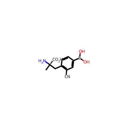 C[C@](N)(Cc1ccc(B(O)O)cc1C#N)C(=O)O